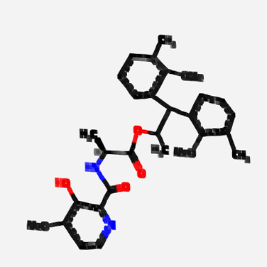 COc1ccnc(C(=O)N[C@@H](C)C(=O)OC(C)C(c2cccc(C)c2OC)c2cccc(C)c2OC)c1O